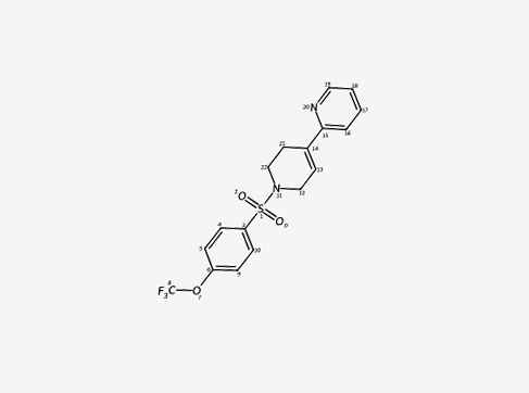 O=S(=O)(c1ccc(OC(F)(F)F)cc1)N1CC=C(c2ccccn2)CC1